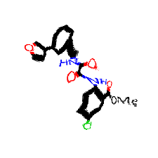 COC(=O)c1cc(Cl)ccc1NC(=O)C(=O)NCc1cccc(-c2ccoc2)c1